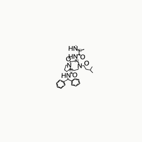 CN[C@@H](C)C(=O)N[C@@H]1CN(C(=O)CC(C)C)CC[C@@]2(C(=O)NC(c3ccccc3)c3ccccc3)CCCN2C1=O